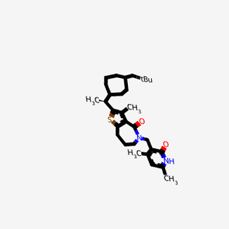 Cc1cc(C)c(CN2CCCc3sc([C@H](C)C4CCCC(CC(C)(C)C)CC4)c(C)c3C2=O)c(=O)[nH]1